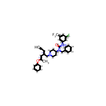 C#C/C=C(\C=C(/C)Oc1ccccc1)CN1CCC(N(Cc2ccccc2)C(=O)Nc2cc(F)cc(C(F)(F)F)c2)CC1